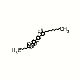 CCCCCCCCCCc1ccc(-c2ccc(-c3ccc(C4OCC(CCCCC)CO4)c(F)c3F)cc2)c(F)c1F